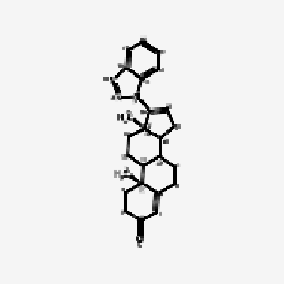 C[C@]12CCC(=O)C=C1CCC1C2CC[C@]2(C)C(n3nnc4ccccc43)=CCC12